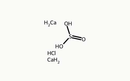 Cl.O=S(O)O.[CaH2].[CaH2]